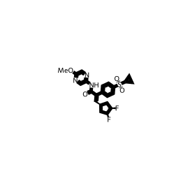 COc1cnc(NC(=O)/C(=C/[C@H]2C[C@@H](F)[C@@H](F)C2)c2ccc(S(=O)(=O)C3CC3)cc2)cn1